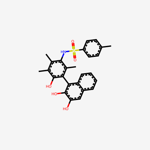 Cc1ccc(S(=O)(=O)Nc2c(C)c(C)c(O)c(-c3c(O)c(O)cc4ccccc34)c2C)cc1